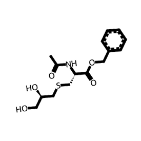 CC(=O)N[C@@H](CSC[C@H](O)CO)C(=O)OCc1ccccc1